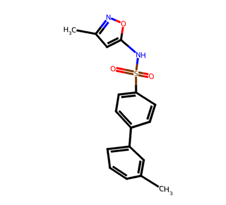 Cc1cccc(-c2ccc(S(=O)(=O)Nc3cc(C)no3)cc2)c1